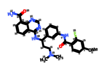 COc1ccc(C(=O)Nc2cccc(C(CCN(C)C)Nc3ncnc4c(C(N)=O)cccc34)c2)c(F)c1